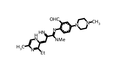 CCC1=NC(C)=CN/C1=C\C(=N)/C(=N/c1ccc(N2CCN(C)CC2)cc1C=O)NC